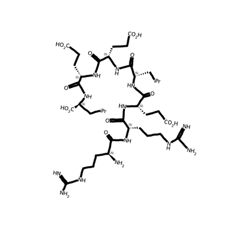 CC(C)C[C@H](NC(=O)[C@H](CCC(=O)O)NC(=O)[C@H](CCC(=O)O)NC(=O)[C@H](CC(C)C)NC(=O)[C@H](CCC(=O)O)NC(=O)[C@H](CCCNC(=N)N)NC(=O)[C@@H](N)CCCNC(=N)N)C(=O)O